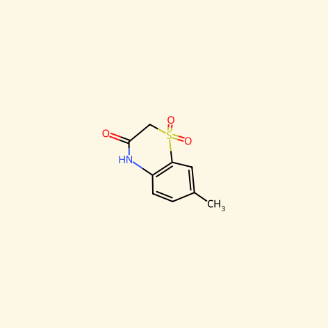 Cc1ccc2c(c1)S(=O)(=O)CC(=O)N2